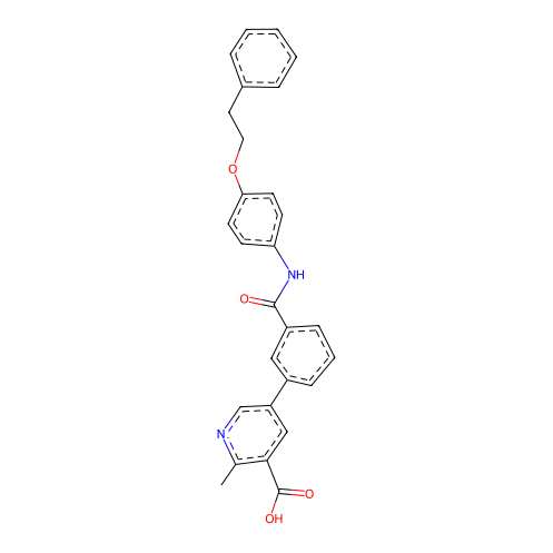 Cc1ncc(-c2cccc(C(=O)Nc3ccc(OCCc4ccccc4)cc3)c2)cc1C(=O)O